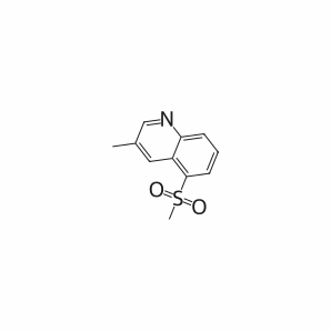 Cc1cnc2cccc(S(C)(=O)=O)c2c1